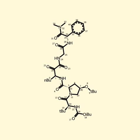 CCCCC(NC(=O)[C@@H]1C[C@@H](OC(C)(C)C)CN1C(=O)[C@@H](NC(=O)OCC(C)C)C(C)(C)C)C(=O)C(=O)NCC(=O)N[C@H](C(=O)N(C)C)c1ccccc1